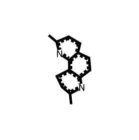 Cc1ccc2c(ccc3ccc(C)nc32)n1